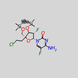 CC(C)(C)[Si](C)(C)OC[C@@]1(CCCl)O[C@@H](n2cc(F)c(N)nc2=O)[C@@H](F)[C@@H]1O[Si](C)(C)C(C)(C)C